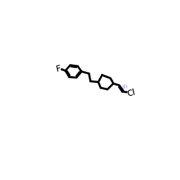 Fc1ccc(CCC2CCC(/C=C/Cl)CC2)cc1